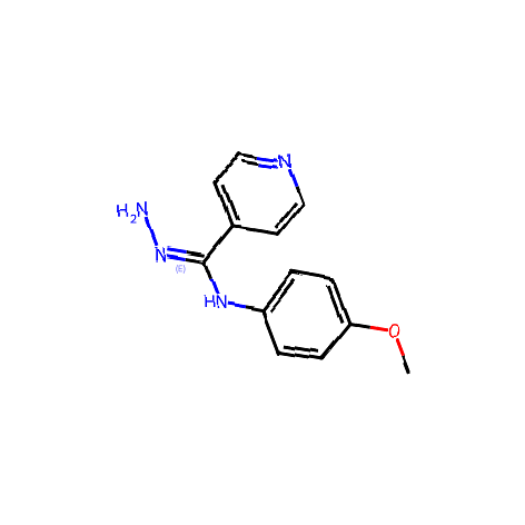 COc1ccc(N/C(=N/N)c2ccncc2)cc1